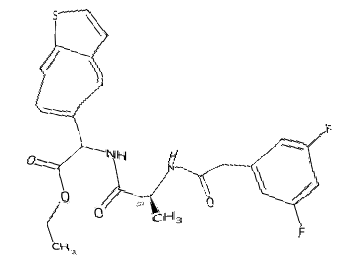 CCOC(=O)C(NC(=O)[C@H](C)NC(=O)Cc1cc(F)cc(F)c1)c1ccc2sccc2c1